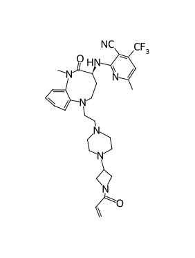 C=CC(=O)N1CC(N2CCN(CCN3CC[C@H](Nc4nc(C)cc(C(F)(F)F)c4C#N)C(=O)N(C)c4ccccc43)CC2)C1